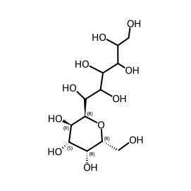 OCC(O)C(O)C(O)C(O)C(O)[C@H]1O[C@H](CO)[C@H](O)[C@H](O)[C@H]1O